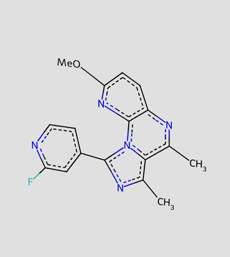 COc1ccc2nc(C)c3c(C)nc(-c4ccnc(F)c4)n3c2n1